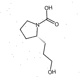 O=C(O)N1CCC[C@H]1CCCO